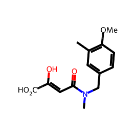 COc1ccc(CN(C)C(=O)C=C(O)C(=O)O)cc1C